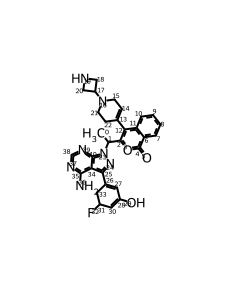 CC(c1oc(=O)c2ccccc2c1C1=CCN(C2CNC2)CC1)n1nc(C2=CC(O)=CC(F)C2)c2c(N)ncnc21